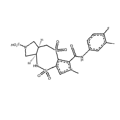 Cc1cc(NC(=O)c2c3c(cn2C)S(=O)(=O)N[C@H]2CN(C(=O)O)C[C@H]2CS3(=O)=O)ccc1F